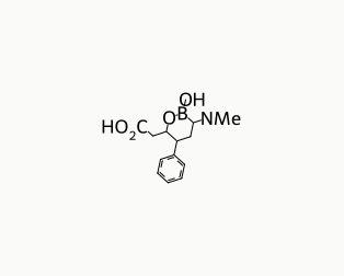 CNC1CC(c2ccccc2)C(CC(=O)O)OB1O